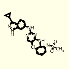 CS(=O)(=O)Nc1ccccc1Nc1nc(Nc2ccc3c(C4CC4)n[nH]c3c2)ncc1Cl